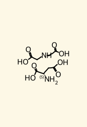 N[C@@H](CC(=O)O)C(=O)O.O=C(O)CNCC(=O)O